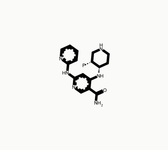 NC(=O)c1cnc(Nc2ccccn2)cc1N[C@H]1CCNC[C@H]1F